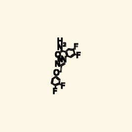 NC(=O)c1cc(F)c(F)cc1-n1cc(COc2ccc(F)c(F)c2)nn1